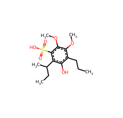 CCCc1c(O)c(C(C)CC)c(S(=O)(=O)O)c(OC)c1OC